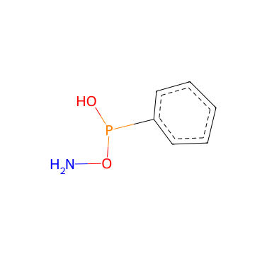 NOP(O)c1ccccc1